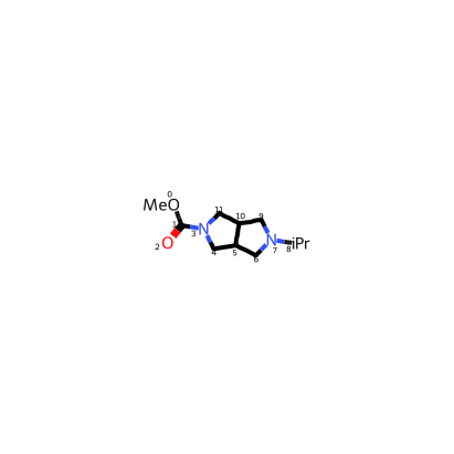 COC(=O)N1CC2CN(C(C)C)CC2C1